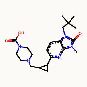 Cn1c(=O)n(CC(C)(C)C)c2ccc(C3CC3CN3CCN(C(=O)O)CC3)nc21